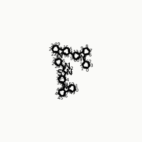 c1ccc(-n2c3ccccc3c3cc(-c4ccc5c6ccccc6n(-c6cccc(-c7ncnc8c7sc7ccc(-n9c%10ccccc%10c%10ccccc%109)cc78)c6)c5c4)ccc32)cc1